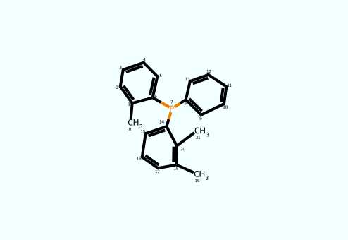 Cc1ccccc1P(c1ccccc1)c1cccc(C)c1C